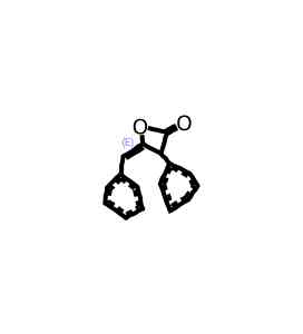 O=C1O/C(=C/c2ccccc2)C1c1ccccc1